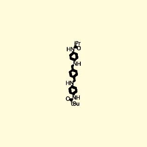 CC(C)C(=O)Nc1ccc(NCc2ccc(CNc3ccc(NC(=O)C(C)(C)C)cc3)cc2)cc1